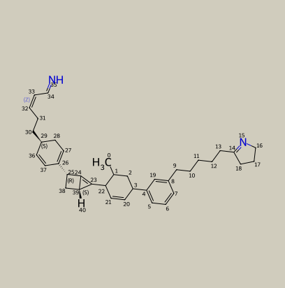 CC1CC(c2cccc(CCCCCC3=NCCC3)c2)C=CC1C1=C2[C@@H](C3=CC[C@H](CC/C=C\C=N)C=C3)C[C@@H]12